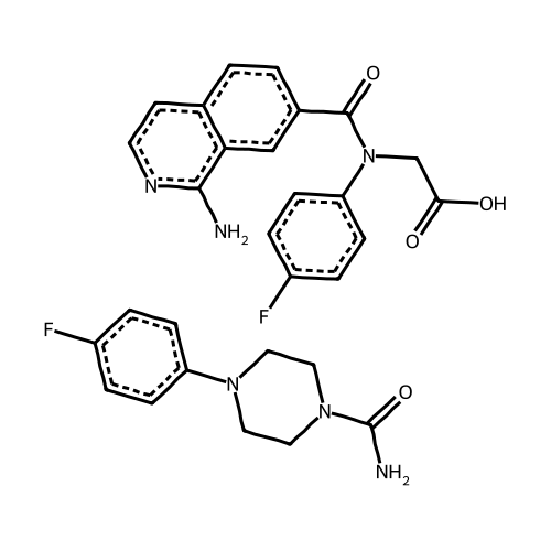 NC(=O)N1CCN(c2ccc(F)cc2)CC1.Nc1nccc2ccc(C(=O)N(CC(=O)O)c3ccc(F)cc3)cc12